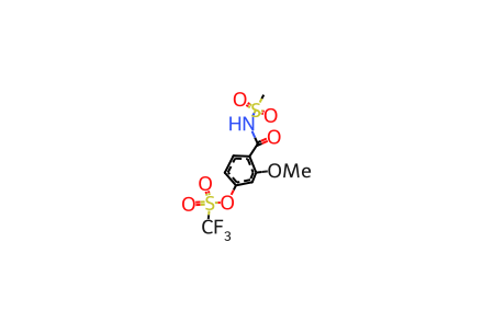 COc1cc(OS(=O)(=O)C(F)(F)F)ccc1C(=O)NS(C)(=O)=O